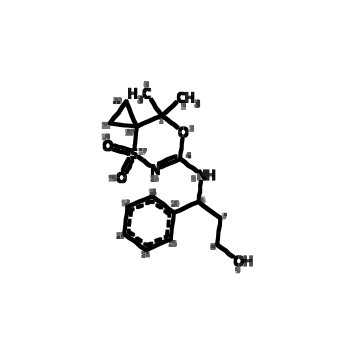 CC1(C)OC(NC(CCO)c2ccccc2)=NS(=O)(=O)C12CC2